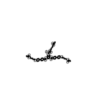 [C-]#[N+]C(C(=O)OCCCCOC(=O)C=C)=C1Sc2c(OC(=O)C3CCC(C4CCC(OCCCCCOC(=O)C=C)CC4)CC3)ccc(OC(=O)C3CCC(C4CCC(OCCCCCOC(=O)C=C)CC4)CC3)c2S1